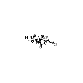 COCCC1CC(=O)c2cc(S(N)(=O)=O)sc2S1(=O)=O